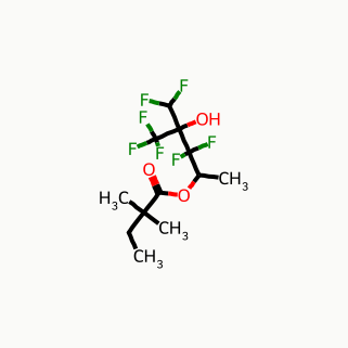 CCC(C)(C)C(=O)OC(C)C(F)(F)C(O)(C(F)F)C(F)(F)F